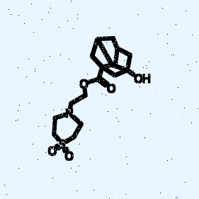 O=C(OCCN1CCS(=O)(=O)CC1)C12CC3CC(CC(O)(C3)C1)C2